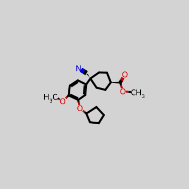 COc1ccc([C@]2(C#N)CC[C@H](C(=O)OC)CC2)cc1OC1CCCC1